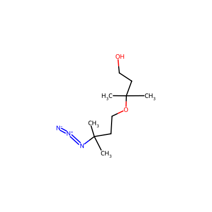 CC(C)(CCOC(C)(C)CCO)N=[N+]=[N-]